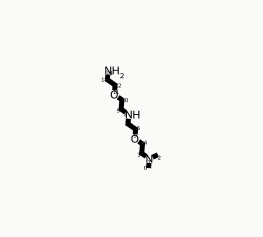 CN(C)CCOCCNCCOCCN